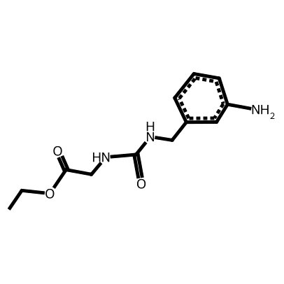 CCOC(=O)CNC(=O)NCc1cccc(N)c1